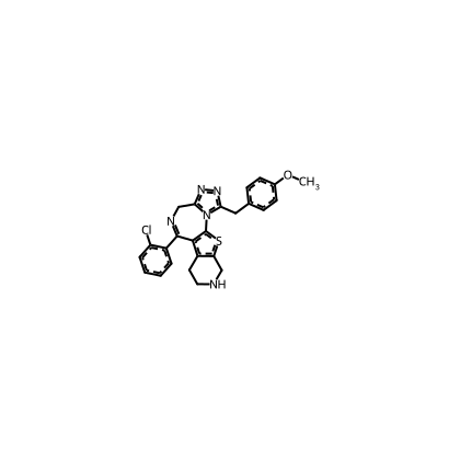 COc1ccc(Cc2nnc3n2-c2sc4c(c2C(c2ccccc2Cl)=NC3)CCNC4)cc1